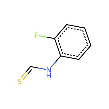 Fc1ccccc1NC=S